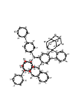 c1ccc(-c2ccc(N(c3ccc(-c4ccccc4)cc3)c3cc4c(cc3-c3c5ccccc5cc5ccccc35)-c3ccccc3C43C4CC5CC(C4)CC3C5)cc2)cc1